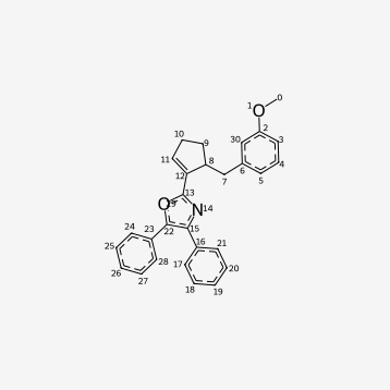 COc1cccc(CC2CCC=C2c2nc(-c3ccccc3)c(-c3ccccc3)o2)c1